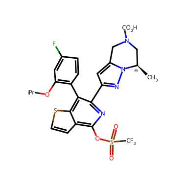 CC(C)Oc1cc(F)ccc1-c1c(-c2cc3n(n2)[C@H](C)CN(C(=O)O)C3)nc(OS(=O)(=O)C(F)(F)F)c2ccsc12